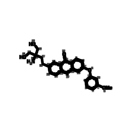 COc1cccc(Oc2ccc3c(=O)c4cc(CCC(N)(CO)CO)ccc4sc3c2)c1